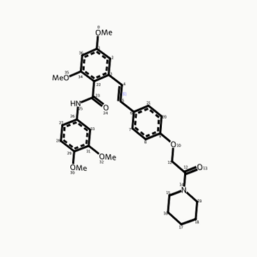 COc1cc(/C=C/c2ccc(OCC(=O)N3CCCCC3)cc2)c(C(=O)Nc2ccc(OC)c(OC)c2)c(OC)c1